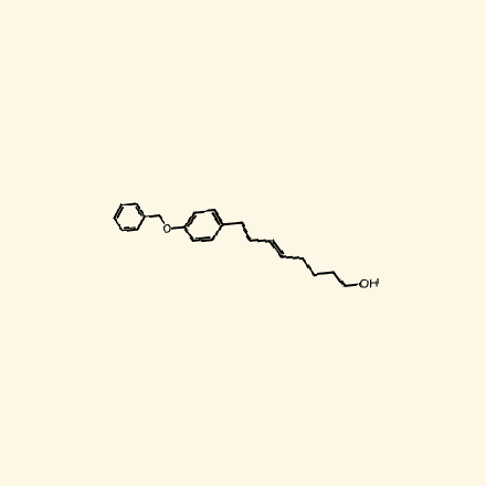 OCCCC/C=C/CCc1ccc(OCc2ccccc2)cc1